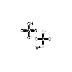 O=P([O-])([O-])[O-].[O]=[W](=[O])([O-])[OH].[Ti+4]